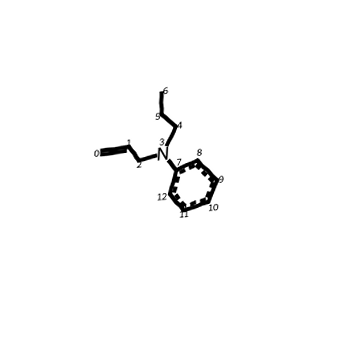 C=CCN(CCC)c1ccccc1